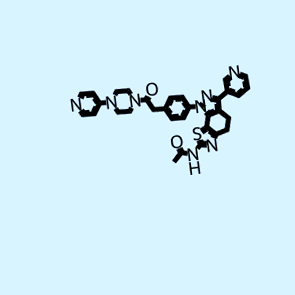 CC(=O)Nc1nc2c(s1)-c1c(c(-c3cccnc3)nn1-c1ccc(CC(=O)N3CCN(c4ccncc4)CC3)cc1)CC2